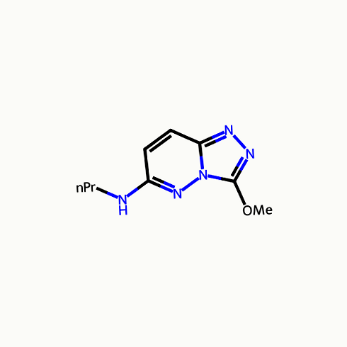 CCCNc1ccc2nnc(OC)n2n1